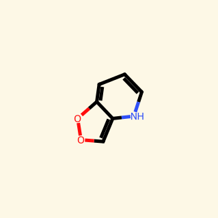 C1=CNC2=COOC2=C1